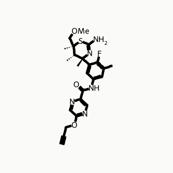 C#CCOc1cnc(C(=O)Nc2cc(C)c(F)c([C@@]3(C)N=C(N)S[C@](C)(COC)[C@H]3C)c2)cn1